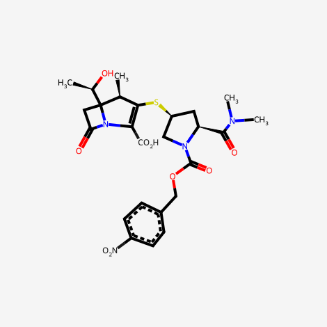 C[C@@H](O)C12CC(=O)N1C(C(=O)O)=C(S[C@H]1C[C@@H](C(=O)N(C)C)N(C(=O)OCc3ccc([N+](=O)[O-])cc3)C1)[C@@H]2C